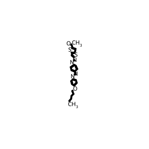 CCCCCCOc1ccc(N=Nc2ccc(N=Nc3cc4sc(C(C)=O)cc4s3)cc2)cc1